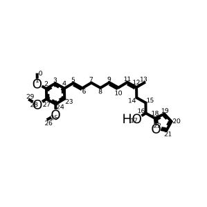 COc1cc(C=CCCC=CC=C(C)CCC(O)c2ccco2)cc(OC)c1OC